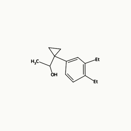 CCc1ccc(C2(C(C)O)CC2)cc1CC